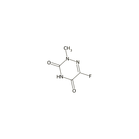 Cn1nc(F)c(=O)[nH]c1=O